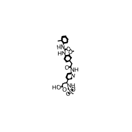 COc1cc(CC(=O)Nc2ccc(C(CC(=O)O)NCS(C)(=O)=O)cn2)ccc1NC(=O)Nc1ccccc1C